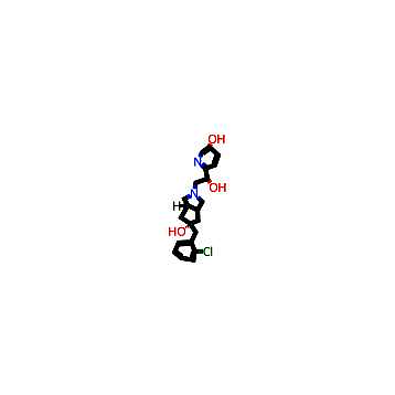 Oc1ccc(C(O)CN2CC3C[C@@](O)(Cc4ccccc4Cl)C[C@@H]3C2)nc1